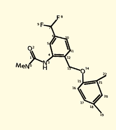 CNC(=O)Nc1cc(C(F)F)ccc1COc1ccc(C)cc1C